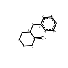 O=C1CCCCC1Cc1c[c]ccc1